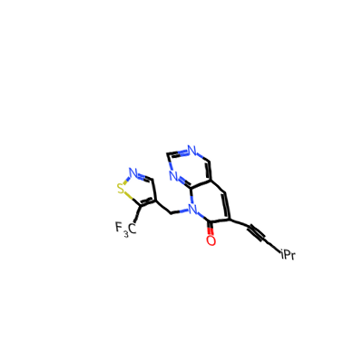 CC(C)C#Cc1cc2cncnc2n(Cc2cnsc2C(F)(F)F)c1=O